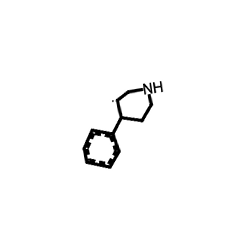 [CH]1CNCCC1c1ccccc1